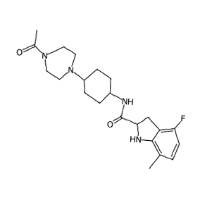 CC(=O)N1CCN(C2CCC(NC(=O)C3Cc4c(F)ccc(C)c4N3)CC2)CC1